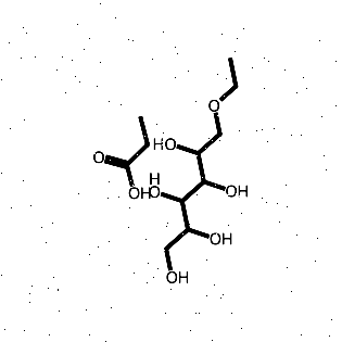 CCC(=O)O.CCOCC(O)C(O)C(O)C(O)CO